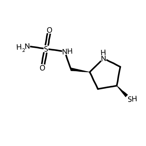 NS(=O)(=O)NC[C@@H]1C[C@H](S)CN1